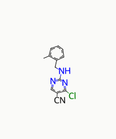 Cc1ccccc1CNc1ncc(C#N)c(Cl)n1